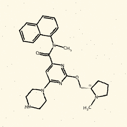 CN(C(=O)c1cc(N2CCNCC2)nc(OC[C@@H]2CCCN2C)n1)c1cccc2ccccc12